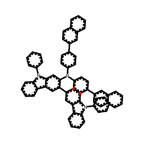 c1ccc(-n2c3ccccc3c3cc(-c4cc5c6ccccc6n(-c6ccccc6)c5cc4N(c4ccc(-c5ccc6ccccc6c5)cc4)c4ccc(-c5ccc6ccccc6c5)cc4)ccc32)cc1